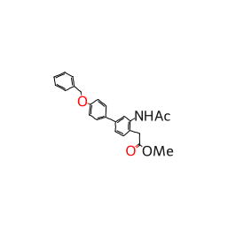 COC(=O)Cc1ccc(-c2ccc(OCc3ccccc3)cc2)cc1NC(C)=O